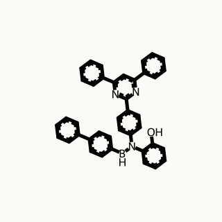 Oc1ccccc1N(Bc1ccc(-c2ccccc2)cc1)c1ccc(-c2nc(-c3ccccc3)cc(-c3ccccc3)n2)cc1